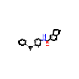 O=C(Nc1ccc([C@@H]2C[C@@H]2c2ccccc2)cc1)c1ccc2ccccc2c1